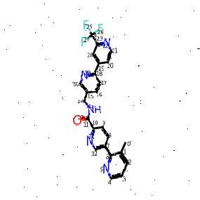 Cc1cccnc1-c1ccc(C(=O)NCc2ccc(-c3ccnc(C(F)(F)F)c3)nc2)nc1